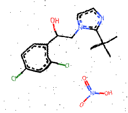 CC(C)(C)c1nccn1CC(O)c1ccc(Cl)cc1Cl.O=[N+]([O-])O